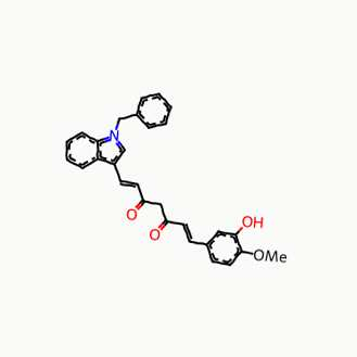 COc1ccc(/C=C/C(=O)CC(=O)/C=C/c2cn(Cc3ccccc3)c3ccccc23)cc1O